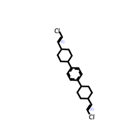 Cl/C=C/C1CCC(c2ccc(C3CCC(/C=C/Cl)CC3)cc2)CC1